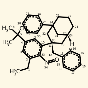 CCc1cc(C(C)(C)C)cc([C@@]2(Cc3ccccc3)C[C@H]3CCCC(c4ccccc4)(C3)C2)c1N=O